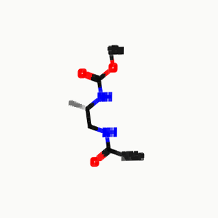 CNC(=O)NC[C@H](C)NC(=O)OC(C)(C)C